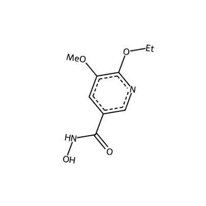 CCOc1ncc(C(=O)NO)cc1OC